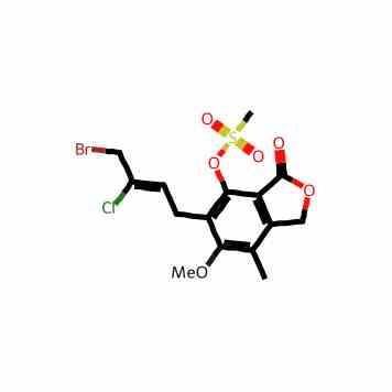 COc1c(C)c2c(c(OS(C)(=O)=O)c1C/C=C(\Cl)CBr)C(=O)OC2